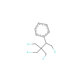 FCC(c1cc[c]cc1)C(CF)(CF)CF